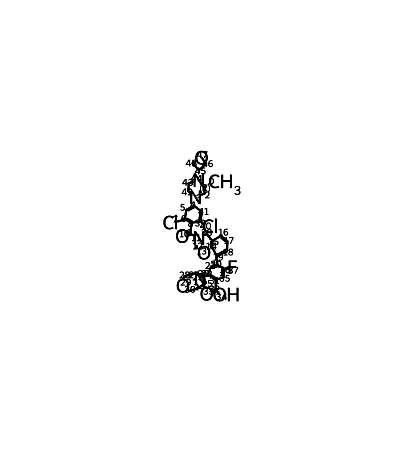 C[C@@H]1CN(c2cc(Cl)c(C(=O)N3COc4c(cccc4-c4cc(N5C6CCC5COC6)c(C(=O)O)cc4F)C3)c(Cl)c2)CCN1C1COC1